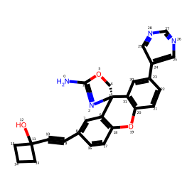 NC1=N[C@]2(CO1)c1cc(C#CC3(O)CCC3)ccc1Oc1ccc(-c3cncnc3)cc12